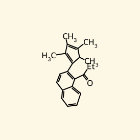 CCC(=O)c1c(C2=C(C)C(C)=C(C)C2C)ccc2ccccc12